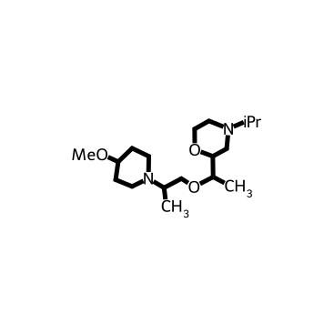 COC1CCN(C(C)COC(C)C2CN(C(C)C)CCO2)CC1